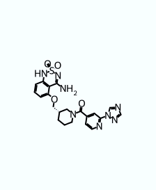 NC1=NS(=O)(=O)Nc2cccc(OC[C@H]3CCCN(C(=O)c4ccnc(-n5cncn5)c4)C3)c21